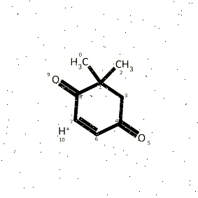 CC1(C)CC(=O)C=CC1=O.[H+]